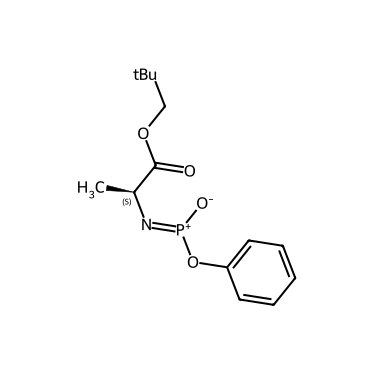 C[C@H](N=[P+]([O-])Oc1ccccc1)C(=O)OCC(C)(C)C